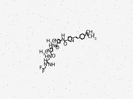 CN(C)c1ccc(/C=C/c2ccc(C(=O)Nc3cc(C(=O)Nc4cc(C(=O)NCCC(=N)NCC(F)F)n(C)c4)n(C)c3)cn2)cc1